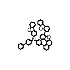 c1ccc(-c2ccc(N(c3ccc(-c4cccc5ccc6oc7c(-c8cccc9c8oc8ccccc89)cccc7c6c45)cc3)c3ccc4c(c3)oc3ccccc34)cc2)cc1